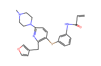 C=CC(=O)Nc1cccc(Sc2ccc(N3CCN(C)CC3)nc2Cc2ccoc2)c1